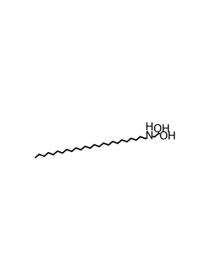 CCCCCCCCCCCCCCCCCCCCCCCCCNCC(O)O